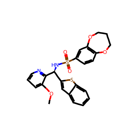 COc1cccnc1[C@@H](NS(=O)(=O)c1ccc2c(c1)OCCCO2)c1cc2ccccc2s1